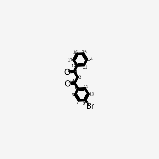 O=C(CC(=O)c1ccc(Br)cc1)c1ccccc1